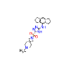 CN1CCC2(CC1)CN(S(=O)(=O)c1nnc(Nc3c4c(cc5c3CCC5)CCC4)[nH]1)C2